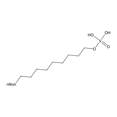 CCCCCCCCCCCCCCCCCC[O][V](=[O])([OH])[OH]